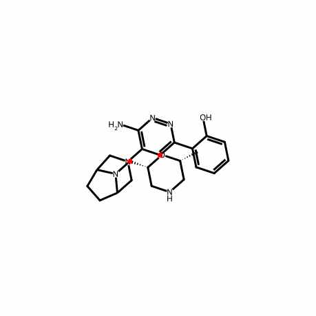 C[C@@H]1CNC[C@H](CN2C3CCC2CN(c2cc(-c4ccccc4O)nnc2N)C3)O1